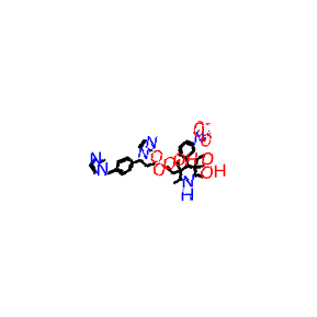 CCC1(C(=O)O)C(C)NC(C)C(CCOC(=O)CC(c2ccc(Cn3ccnc3)cc2)n2ccnc2)(C(=O)O)C1c1cccc([N+](=O)[O-])c1